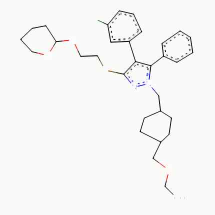 O=C(O)COCC1CCC(Cn2nc(SCCOC3CCCCO3)c(-c3cccc(F)c3)c2-c2ccccc2)CC1